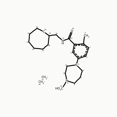 Cc1ccc(N2CCCN(C(=O)O)CC2)cc1C(=O)NC[C]1CCCCCCC1.[CH2].[CH2]